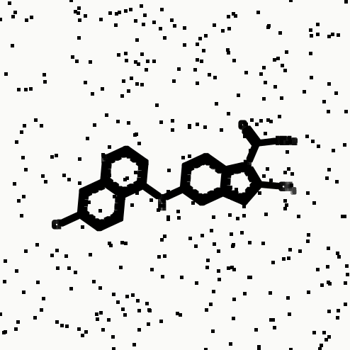 CNC(=O)n1c(C)cc2cc(Nc3ccnc4cc(Cl)ccc34)ccc21